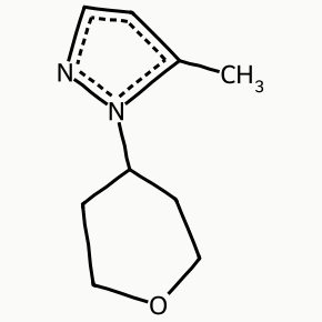 Cc1ccnn1C1CCOCC1